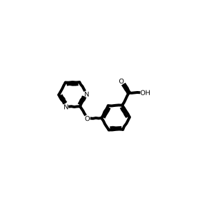 O=C(O)c1cccc(Oc2ncccn2)c1